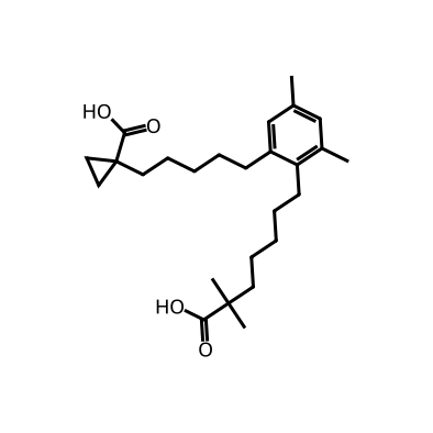 Cc1cc(C)c(CCCCCC(C)(C)C(=O)O)c(CCCCCC2(C(=O)O)CC2)c1